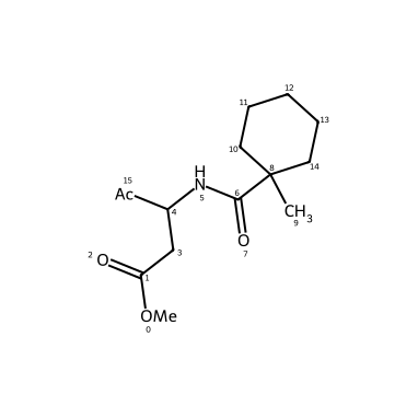 COC(=O)CC(NC(=O)C1(C)CCCCC1)C(C)=O